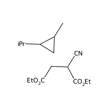 CC(C)C1CC1C.CCOC(=O)CC(C#N)C(=O)OCC